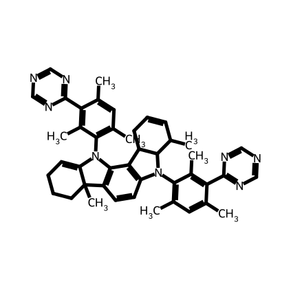 Cc1cc(C)c(N2C3=CCCCC3(C)c3ccc4c(c32)C2CC=CC(C)C2N4c2c(C)cc(C)c(-c3ncncn3)c2C)c(C)c1-c1ncncn1